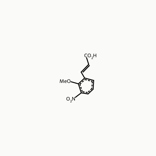 COc1c(C=CC(=O)O)cccc1[N+](=O)[O-]